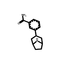 NC(=O)c1cccc(C2CC3CCC(C2)N3)c1